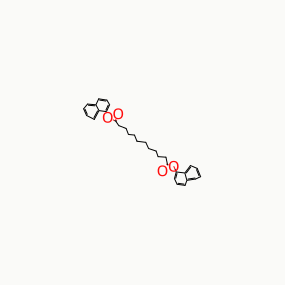 O=C(CCCCCCCCCCC(=O)Oc1cccc2ccccc12)Oc1cccc2ccccc12